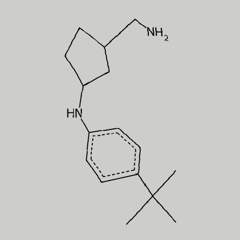 CC(C)(C)c1ccc(NC2CCC(CN)C2)cc1